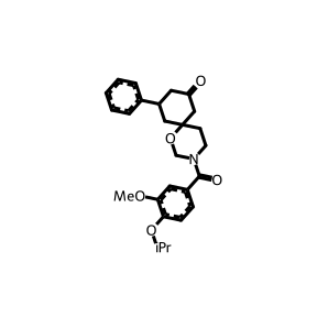 COc1cc(C(=O)N2CCC3(CC(=O)CC(c4ccccc4)C3)OC2)ccc1OC(C)C